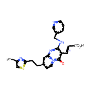 CC(C)c1csc(CCc2ccn3c(=O)c(/C=C/C(=O)O)c(NCc4cccnc4)nc3c2)n1